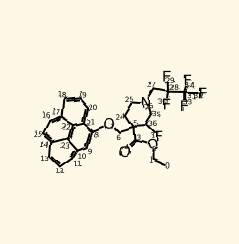 CCOC(=O)C1(COc2cc3cccc4ccc5cccc2c5c43)CCN(CC(F)(F)C(F)(F)F)CC1F